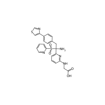 NC(Cc1ccc(-c2cscn2)cc1)(c1cccc(NCC(=O)O)n1)S(=O)(=O)c1ccccn1